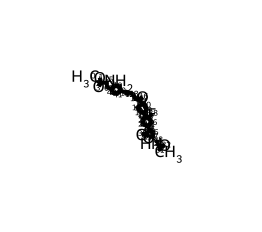 COC(=O)[C@@H](N)Cc1ccc(C#CCCC(=O)N2CCN(c3ccc(N4C[C@H](CNC(C)=O)OC4=O)cc3F)CC2)cc1